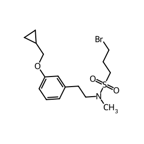 CN(CCc1cccc(OCC2CC2)c1)S(=O)(=O)CCCBr